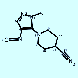 Cn1ncc(N=O)c1N1CCC(C#N)CC1